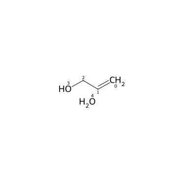 C=CCO.O